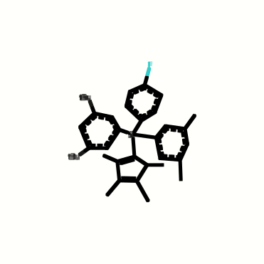 CC1=C(C)C(C)C([Si](c2ccc(F)cc2)(c2cc(C)cc(C)c2)c2cc(C(C)(C)C)cc(C(C)(C)C)c2)=C1C